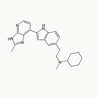 Cc1nc2c(-c3cc4cc(CCN(C)C5CCCCC5)ccc4[nH]3)ccnc2[nH]1